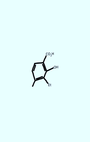 CCc1c(C)ccc(C(=O)O)c1O